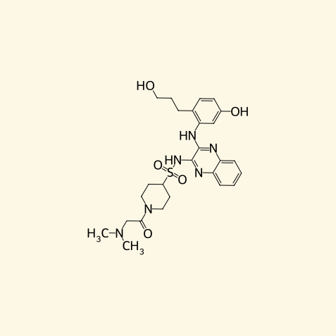 CN(C)CC(=O)N1CCC(S(=O)(=O)Nc2nc3ccccc3nc2Nc2cc(O)ccc2CCCO)CC1